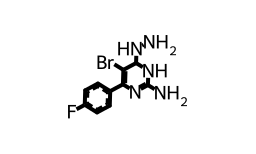 NNC1NC(N)=NC(c2ccc(F)cc2)=C1Br